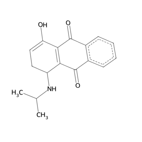 CC(C)NC1CC=C(O)C2=C1C(=O)c1ccccc1C2=O